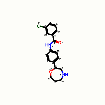 O=C(Nc1ccc(C2CNCCCO2)cc1)c1cccc(Cl)c1